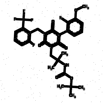 COc1cccc(-n2c(=O)n(Cc3c(F)cccc3C(F)(F)F)c(=O)n(CC(C)(C)NC(=O)OC(C)(C)C)c2=O)c1F